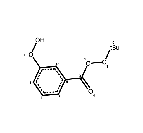 CC(C)(C)OOC(=O)c1cccc(OO)c1